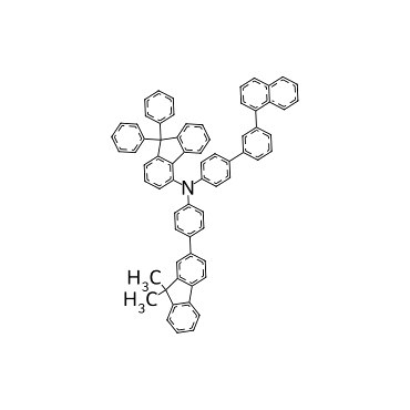 CC1(C)c2ccccc2-c2ccc(-c3ccc(N(c4ccc(-c5cccc(-c6cccc7ccccc67)c5)cc4)c4cccc5c4-c4ccccc4C5(c4ccccc4)c4ccccc4)cc3)cc21